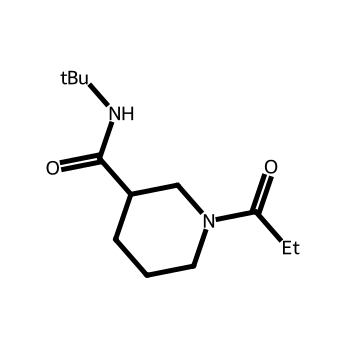 CCC(=O)N1CCCC(C(=O)NC(C)(C)C)C1